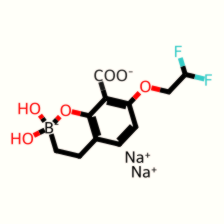 O=C([O-])c1c(OCC(F)F)ccc2c1O[B-](O)(O)CC2.[Na+].[Na+]